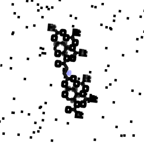 CCC(=O)O[C@@H]1[C@@H](OC(=O)CC)[C@H](OC(=O)/C=C/C(=O)O[C@@H]2OC[C@H](OC(=O)CC)[C@H](OC(=O)CC)[C@H]2OC(=O)CC)OC[C@@H]1OC(=O)CC